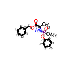 COP(=O)(N[C@@H](C)C(=O)OCc1ccccc1)Oc1ccccc1